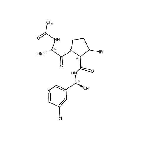 CC(C)C1CCN(C(=O)[C@@H](NC(=O)C(F)(F)F)C(C)(C)C)[C@@H]1C(=O)N[C@@H](C#N)c1cncc(Cl)c1